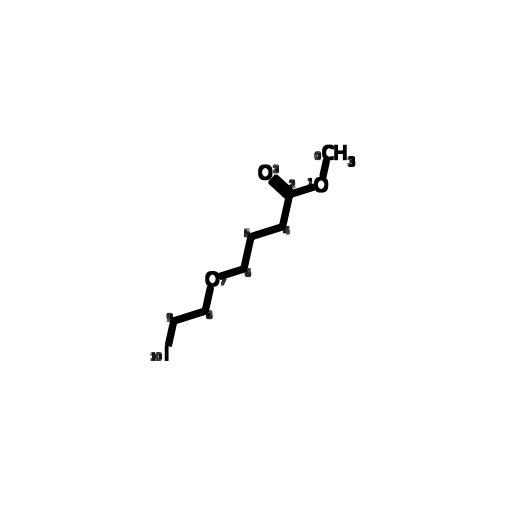 COC(=O)CCCOCCI